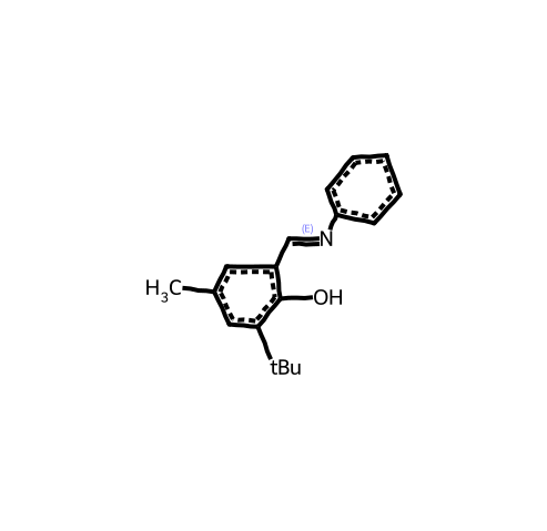 Cc1cc(/C=N/c2ccccc2)c(O)c(C(C)(C)C)c1